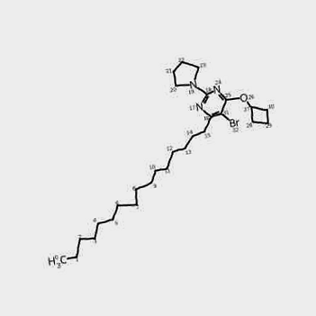 CCCCCCCCCCCCCCCCc1nc(N2CCCC2)nc(OC2CCC2)c1Br